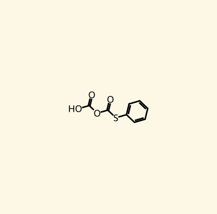 O=C(O)OC(=O)Sc1ccccc1